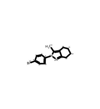 Cc1c2c(nn1-c1ccc(Br)cc1)CCCC2